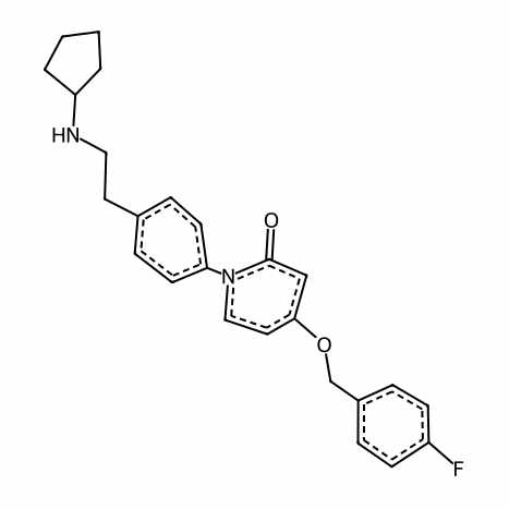 O=c1cc(OCc2ccc(F)cc2)ccn1-c1ccc(CCNC2CCCC2)cc1